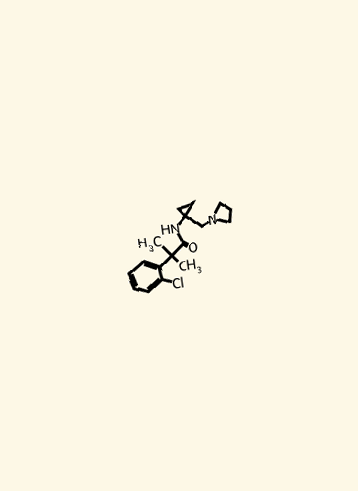 CC(C)(C(=O)NC1(CN2CCC2)CC1)c1ccccc1Cl